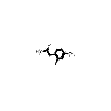 CC(=O)Cc1ccc(C)cc1F